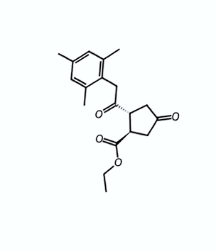 CCOC(=O)[C@@H]1CC(=O)C[C@H]1C(=O)Cc1c(C)cc(C)cc1C